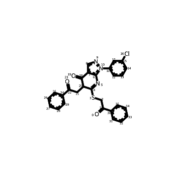 O=C(CSC1=Nc2c(cnn2-c2cccc(Cl)c2)C(=O)C1CC(=O)c1ccccc1)c1ccccc1